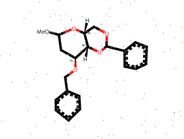 COC1C[C@H](OCc2ccccc2)[C@H]2OC(c3ccccc3)OC[C@H]2O1